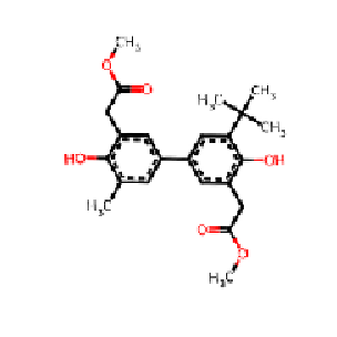 COC(=O)Cc1cc(-c2cc(CC(=O)OC)c(O)c(C(C)(C)C)c2)cc(C)c1O